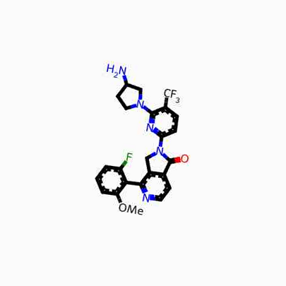 COc1cccc(F)c1-c1nccc2c1CN(c1ccc(C(F)(F)F)c(N3CCC(N)C3)n1)C2=O